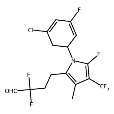 Cc1c(C(F)(F)F)c(F)n(C2C=C(F)C=C(Cl)C2)c1CCC(F)(F)C=O